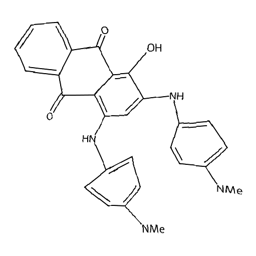 CNc1ccc(Nc2cc(Nc3ccc(NC)cc3)c3c(c2O)C(=O)c2ccccc2C3=O)cc1